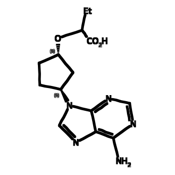 CCC(O[C@H]1CC[C@H](n2cnc3c(N)ncnc32)C1)C(=O)O